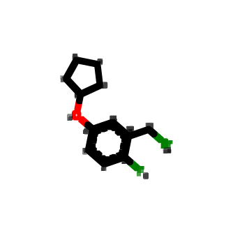 Fc1ccc(OC2CCCC2)cc1CBr